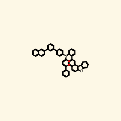 c1ccc(-c2ccc(N(c3ccc(-c4cccc(-c5ccc6ccccc6c5)c4)cc3)c3ccccc3-c3ccc4ccc5oc6ccccc6c5c4c3)cc2)cc1